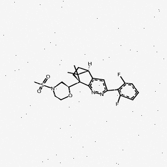 CC1(C)[C@H]2CC[C@]1([C@@H]1CN(S(C)(=O)=O)CCO1)c1nnc(-c3c(F)cccc3F)cc12